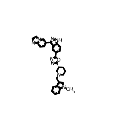 Cn1cc(CN2CCC[C@@H](c3nnc(-c4ccc5[nH]nc(-c6ccc7nccn7c6)c5c4)o3)C2)c2ccccc21